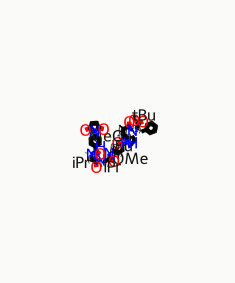 CC[C@H](C)[C@@H]([C@@H](CC(=O)N1CCC[C@H]1[C@H](OC)[C@@H](C)C(=O)N[C@@H](Cc1ccccc1)C(=O)OC(C)(C)C)OC)N(C)C(=O)[C@@H](NC(=O)[C@H](C(C)C)N(C)C(=O)c1ccc(N2C(=O)C=CC2=O)cc1)C(C)C